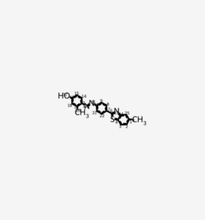 Cc1ccc2sc(-c3ccc(/N=N/c4ccc(O)cc4C)cc3)nc2c1